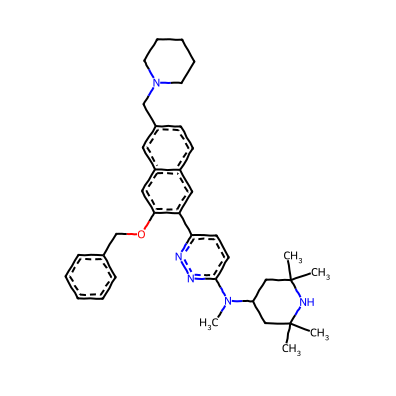 CN(c1ccc(-c2cc3ccc(CN4CCCCC4)cc3cc2OCc2ccccc2)nn1)C1CC(C)(C)NC(C)(C)C1